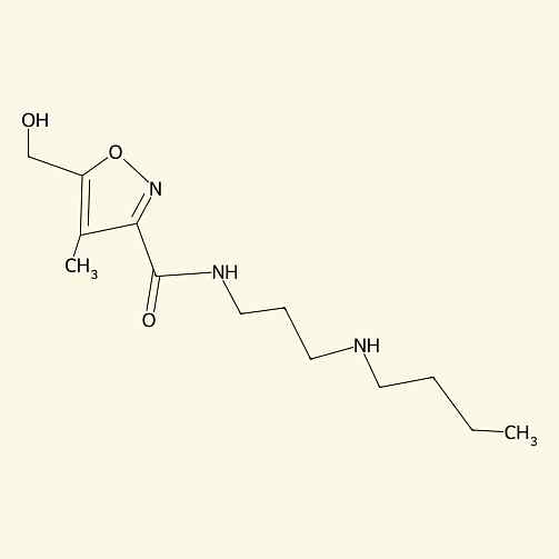 CCCCNCCCNC(=O)c1noc(CO)c1C